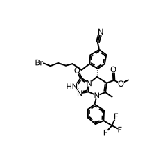 COC(=O)C1=C(C)N(c2cccc(C(F)(F)F)c2)c2n[nH]c(=O)n2[C@@H]1c1ccc(C#N)cc1CCCCCBr